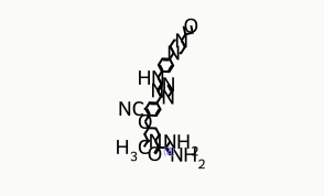 CC1CC(Oc2ccc(-c3ncnc(Nc4ccc(N5CCN(C6COC6)CC5)cc4)n3)cc2C#N)CCN1C(=O)/C(N)=C/N